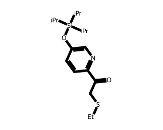 CCSCC(=O)c1ccc(O[Si](C(C)C)(C(C)C)C(C)C)cn1